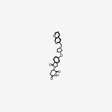 O=C1CCC(N2Cc3cc(O[C@H]4CCN(Cc5cc6cccnc6cn5)C4)ccc3C2=O)C(=O)N1